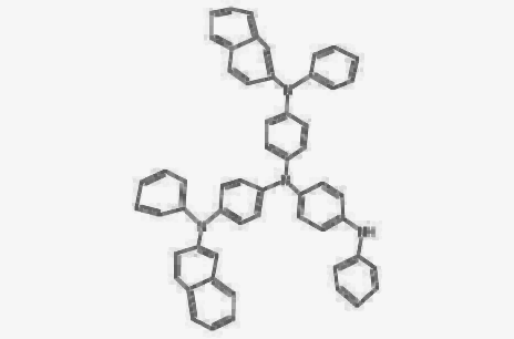 c1ccc(Nc2ccc(N(c3ccc(N(c4ccccc4)c4ccc5ccccc5c4)cc3)c3ccc(N(c4ccccc4)c4ccc5ccccc5c4)cc3)cc2)cc1